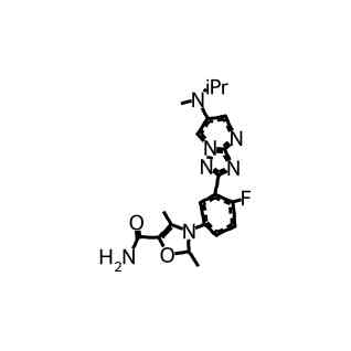 CC1=C(C(N)=O)OC(C)N1c1ccc(F)c(-c2nc3ncc(N(C)C(C)C)cn3n2)c1